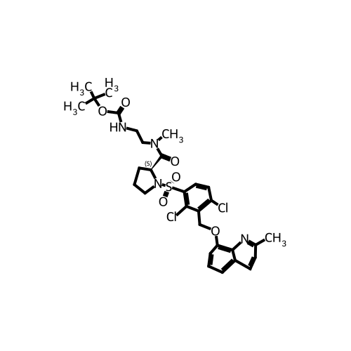 Cc1ccc2cccc(OCc3c(Cl)ccc(S(=O)(=O)N4CCC[C@H]4C(=O)N(C)CCNC(=O)OC(C)(C)C)c3Cl)c2n1